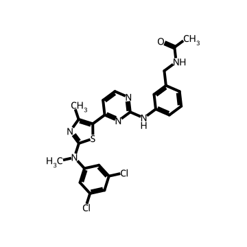 CC(=O)NCc1cccc(Nc2nccc(-c3sc(N(C)c4cc(Cl)cc(Cl)c4)nc3C)n2)c1